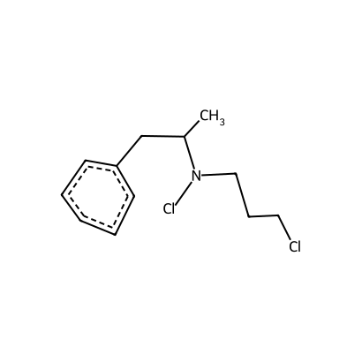 CC(Cc1ccccc1)N(Cl)CCCCl